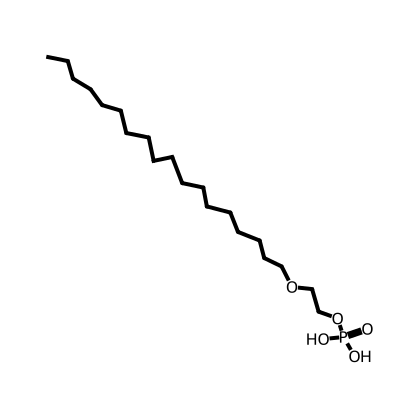 CCCCCCCCCCCCCCCCCCOCCOP(=O)(O)O